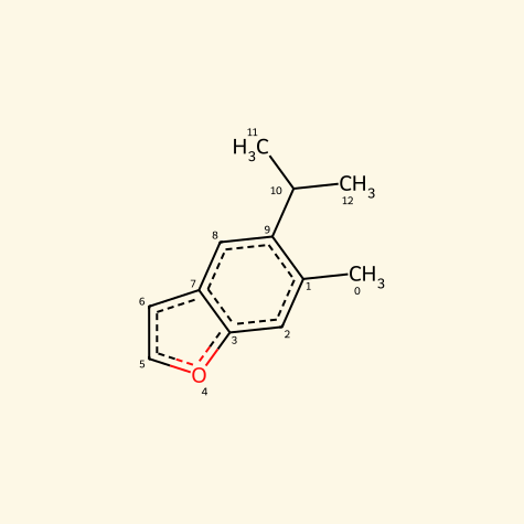 Cc1cc2occc2cc1C(C)C